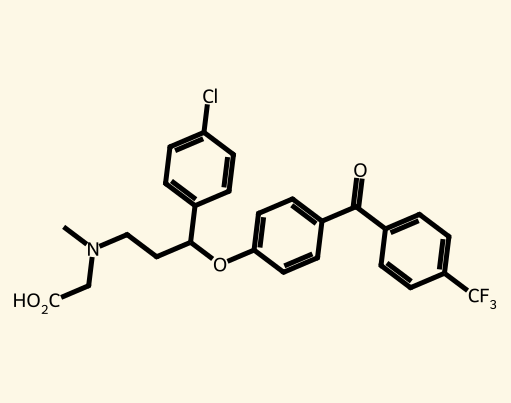 CN(CCC(Oc1ccc(C(=O)c2ccc(C(F)(F)F)cc2)cc1)c1ccc(Cl)cc1)CC(=O)O